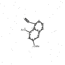 C#Cc1cccc2cc(OC)cc(OC(C)=O)c12